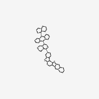 c1ccc2cc3c(cc2c1)sc1c3ccc2sc3cc(-c4ccc(-c5c6ccccc6c(-c6cccc7ccccc67)c6ccccc56)c5ccccc45)ccc3c21